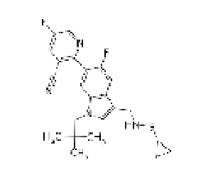 CC(C)(C)Cn1cc(CNSC2CC2)c2cc(F)c(-c3ncc(F)cc3C#N)cc21